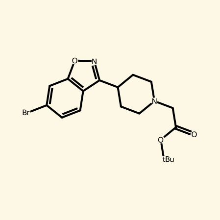 CC(C)(C)OC(=O)CN1CCC(c2noc3cc(Br)ccc23)CC1